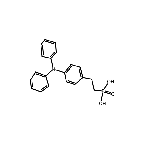 O=P(O)(O)CCc1ccc(N(c2ccccc2)c2ccccc2)cc1